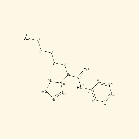 CC(=O)CCCCCC(C(=O)Nc1cccnc1)N1C=CSC1